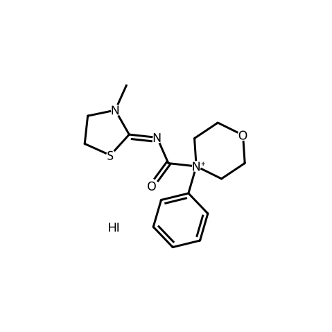 CN1CCSC1=NC(=O)[N+]1(c2ccccc2)CCOCC1.I